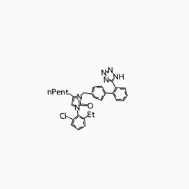 CCCCCc1cn(-c2c(Cl)cccc2CC)c(=O)n1Cc1ccc(-c2ccccc2-c2nnn[nH]2)cc1